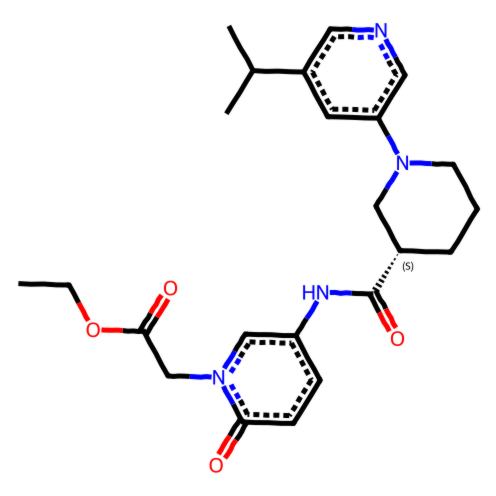 CCOC(=O)Cn1cc(NC(=O)[C@H]2CCCN(c3cncc(C(C)C)c3)C2)ccc1=O